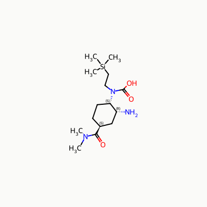 CN(C)C(=O)[C@H]1CC[C@H](N(CC[Si](C)(C)C)C(=O)O)[C@H](N)C1